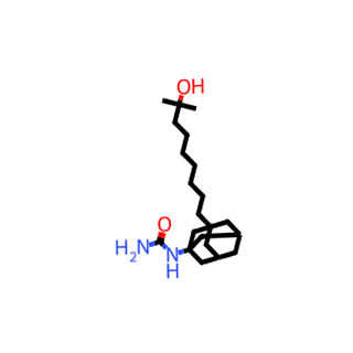 CC(C)(O)CCCCCCCC12CC3CC(C1)CC(NC(N)=O)(C3)C2